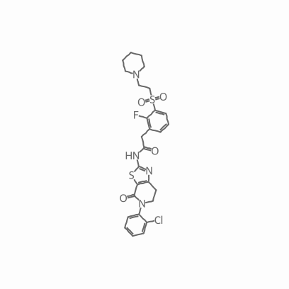 O=C(Cc1cccc(S(=O)(=O)CCN2CCCCC2)c1F)Nc1nc2c(s1)C(=O)N(c1ccccc1Cl)CC2